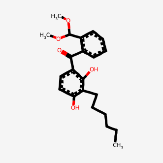 CCCCCCc1c(O)ccc(C(=O)c2ccccc2C(OC)OC)c1O